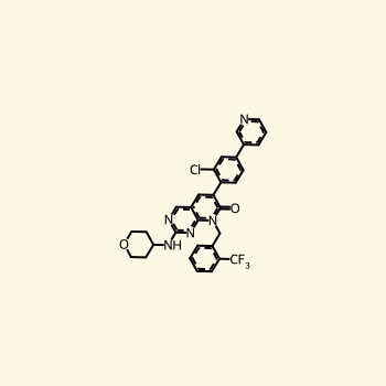 O=c1c(-c2ccc(-c3cccnc3)cc2Cl)cc2cnc(NC3CCOCC3)nc2n1Cc1ccccc1C(F)(F)F